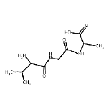 CC(NC(=O)CNC(=O)C(N)C(C)C)C(=O)O